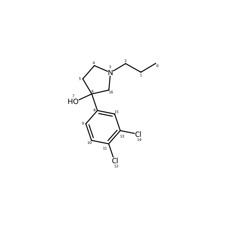 CCCN1CCC(O)(c2ccc(Cl)c(Cl)c2)C1